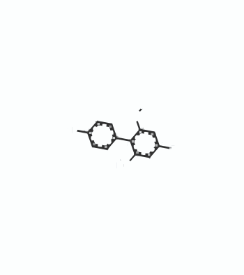 CCOc1cc(CC)cc(C)c1-c1ccc(F)cc1